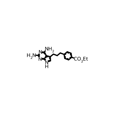 CCOC(=O)c1ccc(CCCc2c[nH]c3nc(N)nc(N)c23)cc1